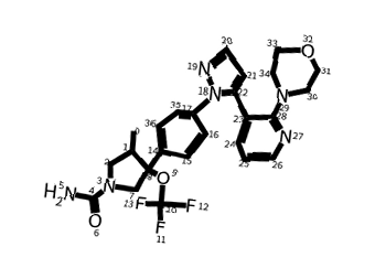 CC1CN(C(N)=O)CC1(OC(F)(F)F)c1ccc(-n2nccc2-c2cccnc2N2CCOCC2)cc1